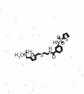 CN(C)Cc1ccc(CSCCNC(=O)c2cccc(NS(=O)(=O)c3cccs3)c2)o1